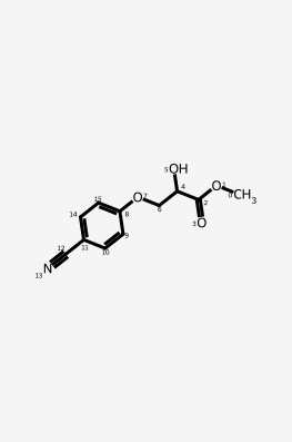 COC(=O)C(O)COc1ccc(C#N)cc1